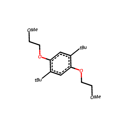 COCCOc1cc(C(C)(C)C)c(OCCOC)cc1C(C)(C)C